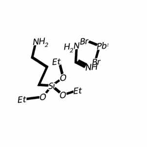 CCO[Si](CCCN)(OCC)OCC.N=CN.[Br][Pb][Br]